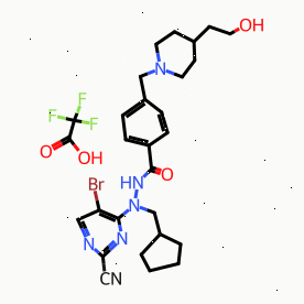 N#Cc1ncc(Br)c(N(CC2CCCC2)NC(=O)c2ccc(CN3CCC(CCO)CC3)cc2)n1.O=C(O)C(F)(F)F